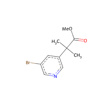 COC(=O)C(C)(C)c1cncc(Br)c1